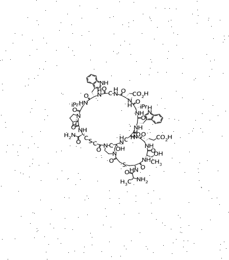 CC(C)[C@@H]1NC(=O)[C@H](Cc2c[nH]c3ccccc23)NC(=O)[C@@H]2CNC3(O)CN(CCN(C3)C(=O)CSC[C@H](NC(=O)[C@H](C)N)C(=O)N[C@@H]([C@@H](C)O)C(=O)N[C@@H](CCC(=O)O)C(=O)N2)C(=O)CSC[C@@H](C(N)=O)NC(=O)[C@@H]2CCCN2C(=O)[C@H](C(C)C)NC(=O)[C@H](Cc2c[nH]c3ccccc23)NC(=O)CNC(=O)[C@H](CC(=O)O)NC1=O